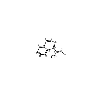 CC=C(Cl)c1cccc2ccccc12